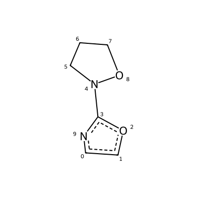 c1coc(N2CCCO2)n1